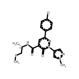 CSC[C@H](C)NC(=O)c1cc(-c2ccc(Cl)cc2)nn(-c2cnn(C)c2)c1=O